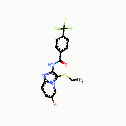 CCSc1c(NC(=O)c2ccc(C(F)(F)F)cc2)nc2ccc(Br)cn12